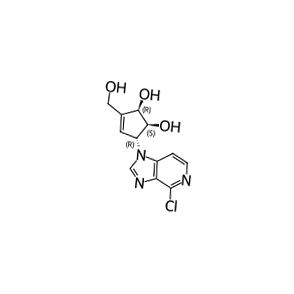 OCC1=C[C@@H](n2cnc3c(Cl)nccc32)[C@H](O)[C@@H]1O